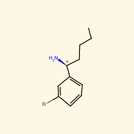 CCCC[C@H](N)c1cccc(Br)c1